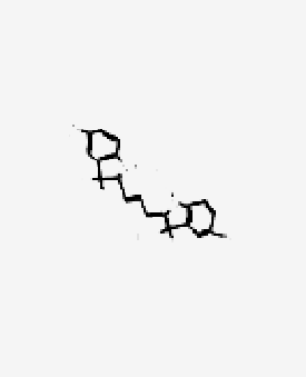 CN1/C(=C\C=C\C2=[N+](C)c3ccc([N+](=O)[O-])cc3C2(C)C)C(C)(C)c2cc([N+](=O)[O-])ccc21